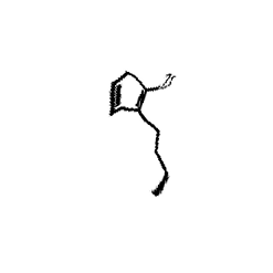 CCCCC1=[C]([Zr])CC=C1